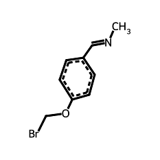 CN=Cc1ccc(OCBr)cc1